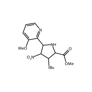 COC(=O)C1NC(c2ncccc2OC)C([N+](=O)[O-])C1C(C)(C)C